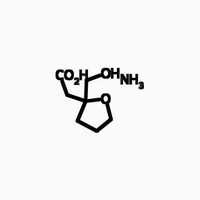 N.O=C(O)CC1(CO)CCCO1